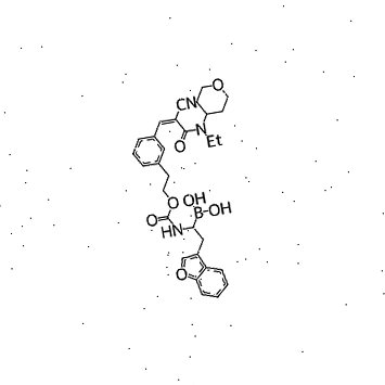 CCN(C(=O)C(C#N)=Cc1cccc(CCOC(=O)NC(Cc2coc3ccccc23)B(O)O)c1)C1CCOCC1